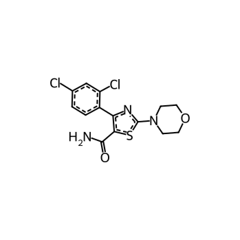 NC(=O)c1sc(N2CCOCC2)nc1-c1ccc(Cl)cc1Cl